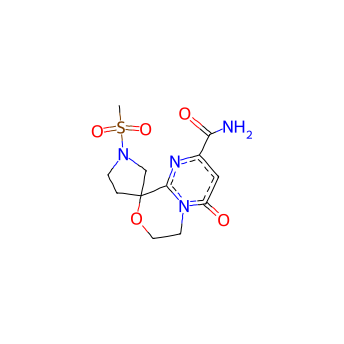 CS(=O)(=O)N1CCC2(C1)OCCn1c2nc(C(N)=O)cc1=O